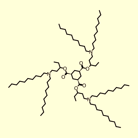 CCCCCCCCCCN(CCCCCCCCCC)CCC(CC)OC(=O)[C@H]1C[C@@H](C(=O)OC(CC)CCN(CCCCCCCCCC)CCCCCCCCCC)C[C@@H](C(=O)OC(CC)CCN(CCCCCCCCCC)CCCCCCCCCC)C1